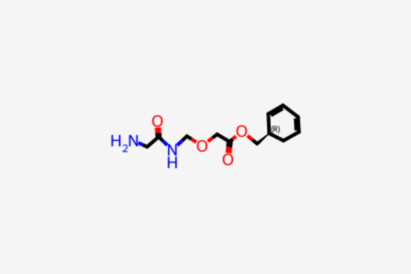 NCC(=O)NCOCC(=O)OC[C@H]1C=CC=CC1